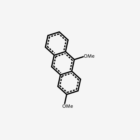 COc1ccc2c(OC)c3ccccc3cc2c1